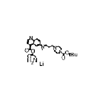 CN(CCCN1CCN(C(=O)OC(C)(C)C)CC1)c1ccc2nccc(C(=O)OC(=O)CN)c2c1.[Li]